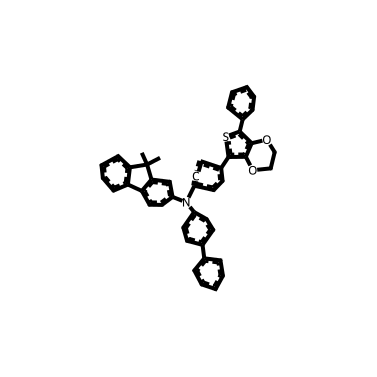 CC1(C)c2ccccc2-c2ccc(N(c3ccc(-c4ccccc4)cc3)c3ccc(-c4sc(-c5ccccc5)c5c4OCCO5)cc3)cc21